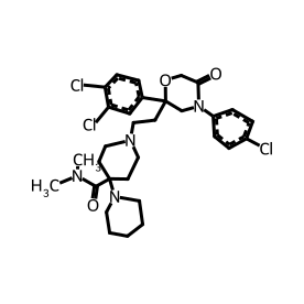 CN(C)C(=O)C1(N2CCCCC2)CCN(CCC2(c3ccc(Cl)c(Cl)c3)CN(c3ccc(Cl)cc3)C(=O)CO2)CC1